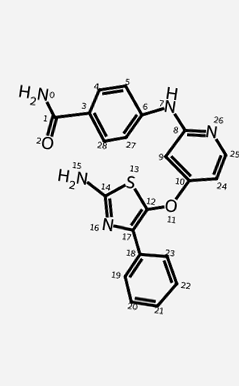 NC(=O)c1ccc(Nc2cc(Oc3sc(N)nc3-c3ccccc3)ccn2)cc1